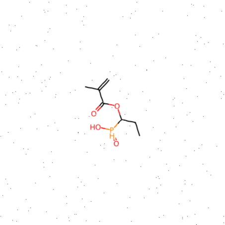 C=C(C)C(=O)OC(CC)[PH](=O)O